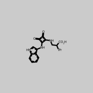 CC(C)C(CNc1c(Nc2c[nH]c3ccccc23)c(=O)c1=O)C(=O)O